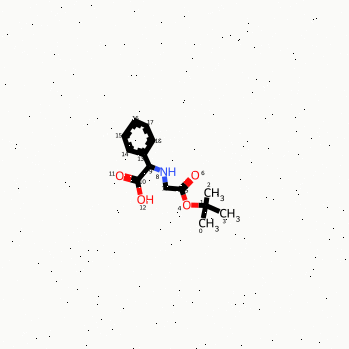 CC(C)(C)OC(=O)CNC(C(=O)O)c1ccccc1